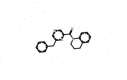 O=C(c1cncc(Cc2ccccc2)n1)N1CCCc2ccccc21